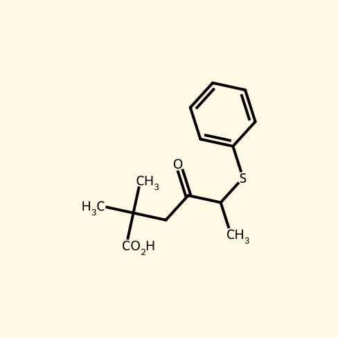 CC(Sc1ccccc1)C(=O)CC(C)(C)C(=O)O